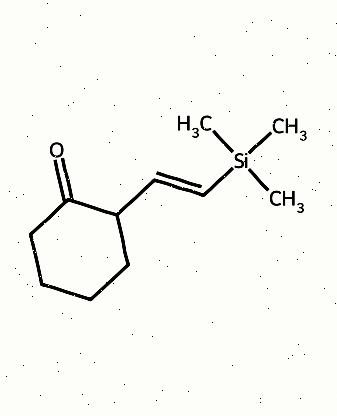 C[Si](C)(C)C=CC1CCCCC1=O